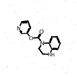 O=C(Oc1cccnc1)N1CCNc2ccccc21